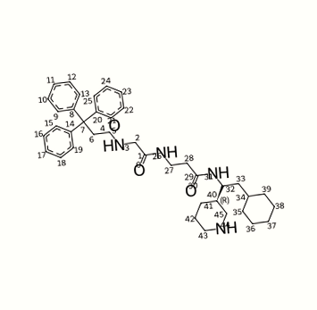 O=C(CNC(=O)CC(c1ccccc1)(c1ccccc1)c1ccccc1)NCCC(=O)NC(CC1CCCCC1)[C@@H]1CCCNC1